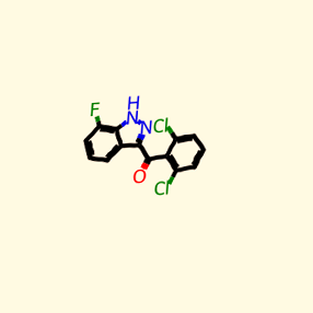 O=C(c1c(Cl)cccc1Cl)c1n[nH]c2c(F)cccc12